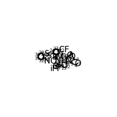 COC1COCCC1N(C(=O)C(F)(F)F)[C@@H]1CC[C@@](C(=O)NCc2cc(C(F)(F)F)ccc2SSc2ccccc2[N+](=O)[O-])(C(C)C)C1